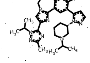 Cc1nc(-c2cn3c(n2)-c2cc(-c4ccnn4[C@@H]4CCCN(C(C)C)C4)c(F)cc2OCC3)n(C(C)C)n1